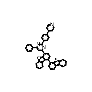 c1ccc(-c2cc(-c3ccc(-c4cccc5c4sc4ccccc45)c4c3oc3ccccc34)nc(-c3ccc(-c4ccncc4)cc3)n2)cc1